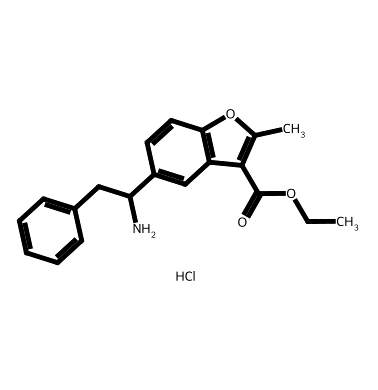 CCOC(=O)c1c(C)oc2ccc(C(N)Cc3ccccc3)cc12.Cl